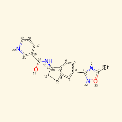 CCc1nc(-c2ccc3c(c2)CC[C@H]3NC(=O)c2cccnc2)no1